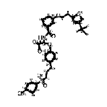 CC(C)(C)c1csc(CCOc2cccc(C(=O)NC(Oc3ccc(CCCS(=O)(=O)c4ccc(Cl)cc4)cc3)C(=O)O)c2)n1